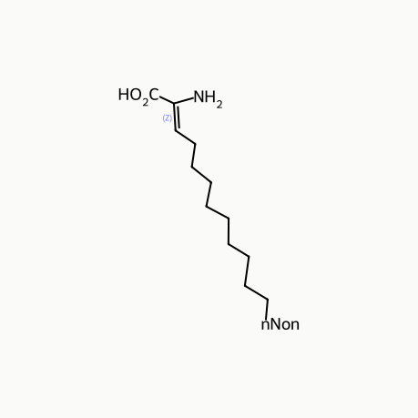 CCCCCCCCCCCCCCCCCC/C=C(\N)C(=O)O